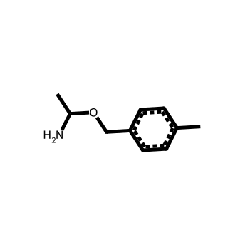 Cc1ccc(COC(C)N)cc1